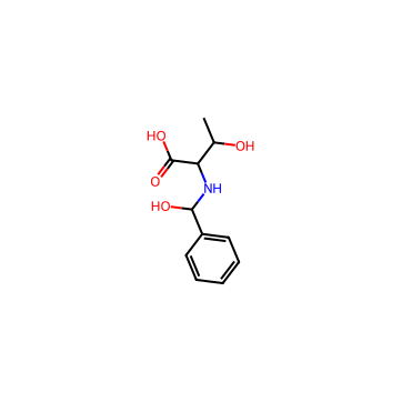 CC(O)C(NC(O)c1ccccc1)C(=O)O